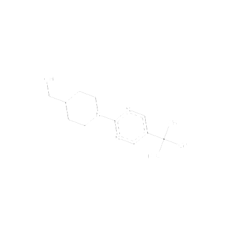 CC(C)(C)c1cnc(N2CCC(CO)CC2)nc1